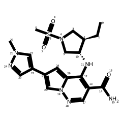 CC[C@@H]1CN(S(C)(=O)=O)C[C@H]1Nc1c(C(N)=O)cnn2cc(-c3cnn(C)c3)cc12